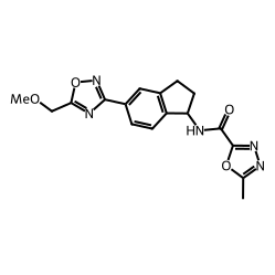 COCc1nc(-c2ccc3c(c2)CCC3NC(=O)c2nnc(C)o2)no1